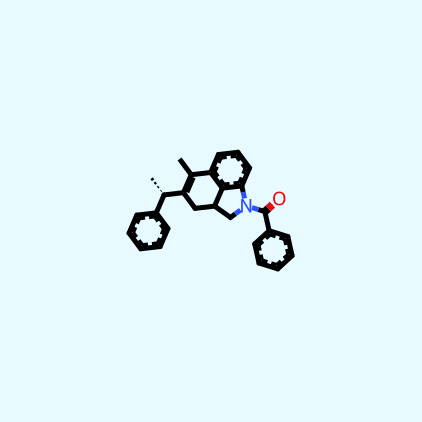 CC1=C([C@@H](C)c2ccccc2)CC2CN(C(=O)c3ccccc3)c3cccc1c32